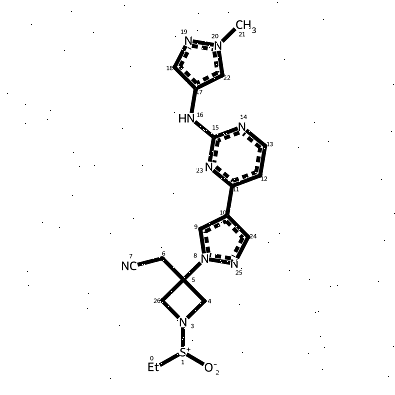 CC[S+]([O-])N1CC(CC#N)(n2cc(-c3ccnc(Nc4cnn(C)c4)n3)cn2)C1